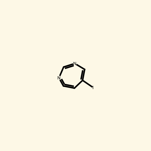 IC1=CN=CN=C=C1